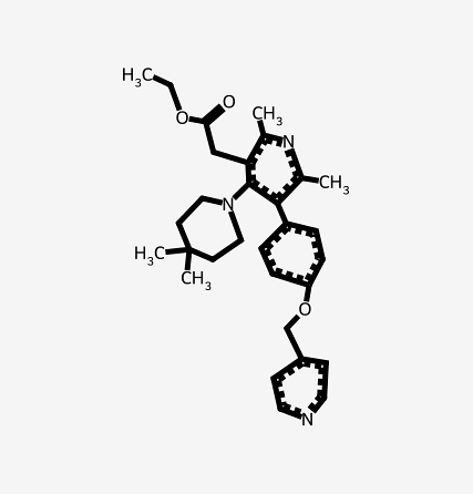 CCOC(=O)Cc1c(C)nc(C)c(-c2ccc(OCc3ccncc3)cc2)c1N1CCC(C)(C)CC1